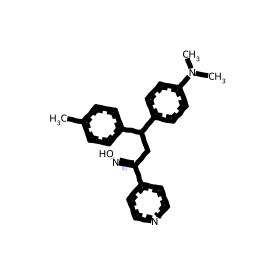 Cc1ccc(C(C/C(=N\O)c2ccncc2)c2ccc(N(C)C)cc2)cc1